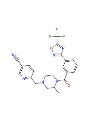 CC1CN(Cc2ccc(C#N)cn2)CCN1C(=O)c1cccc(-c2noc(C(F)(F)F)n2)c1